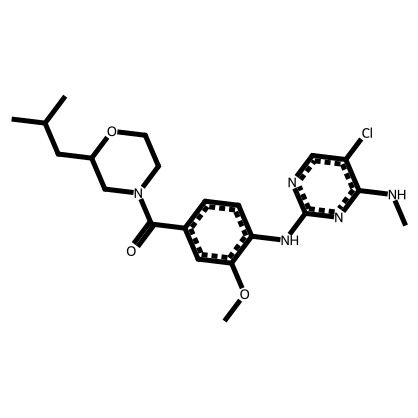 CNc1nc(Nc2ccc(C(=O)N3CCOC(CC(C)C)C3)cc2OC)ncc1Cl